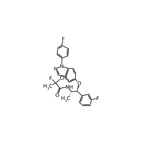 C[C@H](NC(=O)C(C)(C)F)[C@@H](Oc1ccc2c(cnn2-c2ccc(F)cc2)c1)c1cccc(F)c1